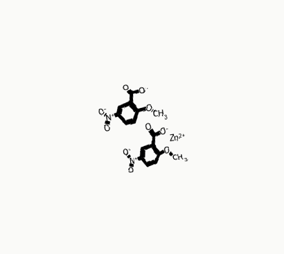 COc1ccc([N+](=O)[O-])cc1C(=O)[O-].COc1ccc([N+](=O)[O-])cc1C(=O)[O-].[Zn+2]